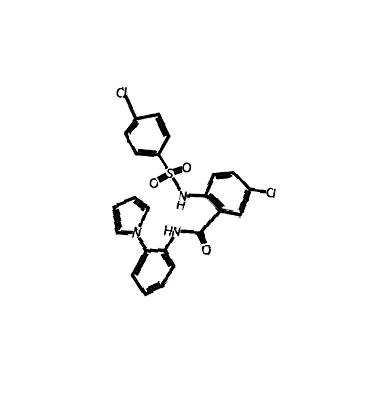 O=C(Nc1ccccc1-n1cccc1)c1cc(Cl)ccc1NS(=O)(=O)c1ccc(Cl)cc1